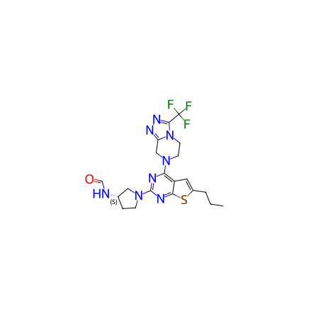 CCCc1cc2c(N3CCn4c(nnc4C(F)(F)F)C3)nc(N3CC[C@H](NC=O)C3)nc2s1